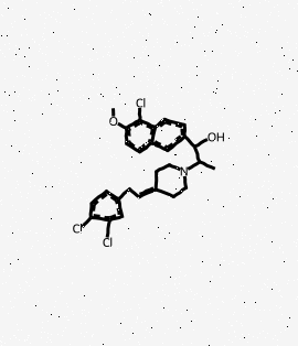 COc1ccc2cc(C(O)C(C)N3CCC(=CCc4ccc(Cl)c(Cl)c4)CC3)ccc2c1Cl